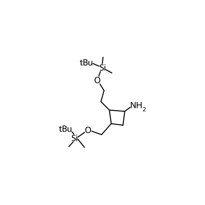 CC(C)(C)[Si](C)(C)OCCC1C(N)CC1CO[Si](C)(C)C(C)(C)C